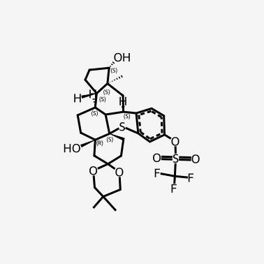 CC1(C)COC2(CC[C@@]34Sc5cc(OS(=O)(=O)C(F)(F)F)ccc5[C@H]5C[C@]6(C)[C@@H](O)CC[C@H]6[C@H](CC[C@@]3(O)C2)C54)OC1